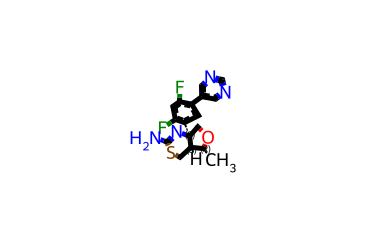 C[C@H]1OC[C@]2(c3cc(-c4cncnc4)c(F)cc3F)N=C(N)SC[C@H]12